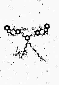 COCCOCCOCCN(CCCC(=O)N(C)CC(C)(C)S)c1cc(COc2cc3c(cc2OC)C(=O)N2c4ccccc4C[C@H]2C=N3)cc(COc2cc3c(cc2OC)C(=O)N2c4ccccc4C[C@H]2C=N3)c1